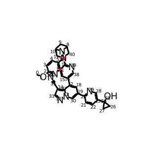 COc1ccc(CN2C3CC2CN(c2ccc(-c4cc(-c5ccc(C6(O)CC6)cn5)cn5ncc(C#N)c45)cn2)C3)cn1